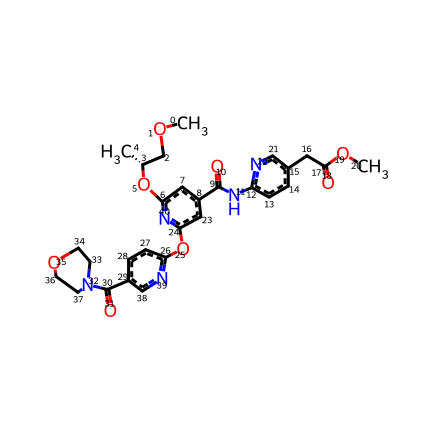 COC[C@@H](C)Oc1cc(C(=O)Nc2ccc(CC(=O)OC)cn2)cc(Oc2ccc(C(=O)N3CCOCC3)cn2)n1